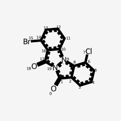 O=c1c2cccc(Cl)c2n2c3cccc(Br)c3c(=O)n12